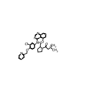 CN(C)CC(=O)N1CCCC1COc1cccc2ncnc(Nc3ccc(OCc4ccccn4)c(Cl)c3)c12